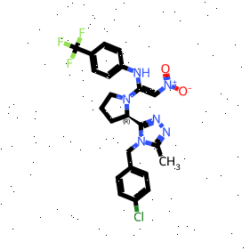 Cc1nnc([C@H]2CCCN2C(=C[N+](=O)[O-])Nc2ccc(C(F)(F)F)cc2)n1Cc1ccc(Cl)cc1